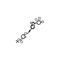 C[C@@H]1CN(C(=O)OC(C)(C)C)CC[C@H]1OCC#Cc1ccn2c(N3CCC(=O)NC3=O)cnc2c1